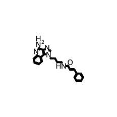 Nc1nc2ccccc2c2c1ncn2CCCCNC(=O)/C=C/c1ccccc1